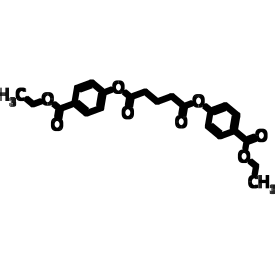 CCOC(=O)c1ccc(OC(=O)CCCC(=O)Oc2ccc(C(=O)OCC)cc2)cc1